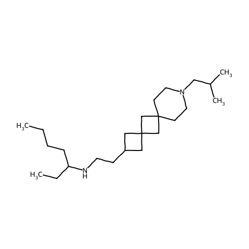 CCCCC(CC)NCCC1CC2(C1)CC1(CCN(CC(C)C)CC1)C2